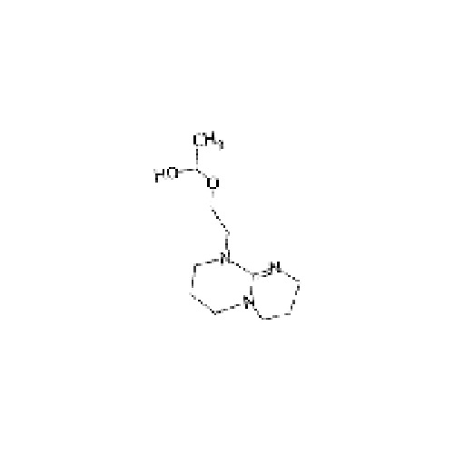 CC(O)OCCN1CCCN2CCCN=C21